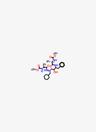 CCCOC(=O)N[C@H](C(=O)NC(Cc1ccccc1)C(O)CN(CC1CCCCC1)NC(=O)[C@@H](NC(=O)OCCC)C(C)C)C(C)C